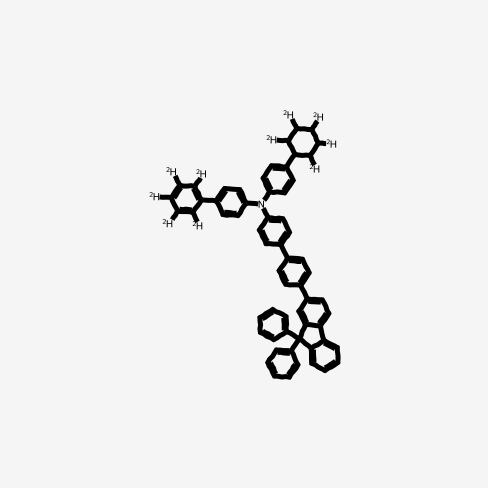 [2H]c1c([2H])c([2H])c(-c2ccc(N(c3ccc(-c4ccc(-c5ccc6c(c5)C(c5ccccc5)(c5ccccc5)c5ccccc5-6)cc4)cc3)c3ccc(C4C([2H])C([2H])C([2H])C([2H])C4[2H])cc3)cc2)c([2H])c1[2H]